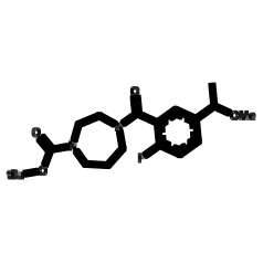 COC(C)c1ccc(F)c(C(=O)N2CCCN(C(=O)OC(C)(C)C)CC2)c1